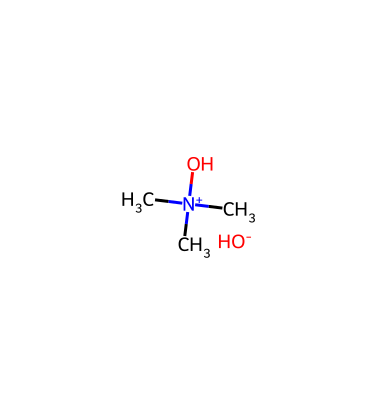 C[N+](C)(C)O.[OH-]